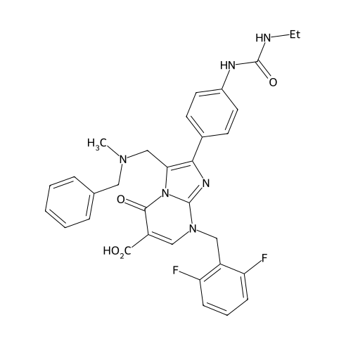 CCNC(=O)Nc1ccc(-c2nc3n(Cc4c(F)cccc4F)cc(C(=O)O)c(=O)n3c2CN(C)Cc2ccccc2)cc1